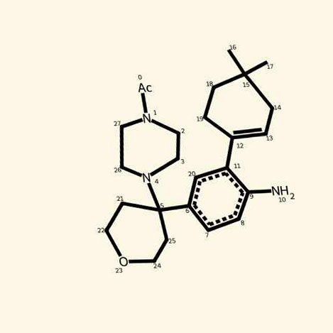 CC(=O)N1CCN(C2(c3ccc(N)c(C4=CCC(C)(C)CC4)c3)CCOCC2)CC1